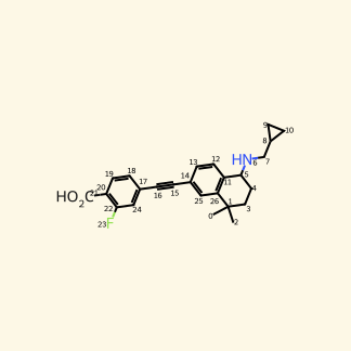 CC1(C)CCC(NCC2CC2)c2ccc(C#Cc3ccc(C(=O)O)c(F)c3)cc21